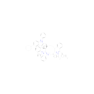 C=CC1=NC2C(=C)C[n+]3c(n(-c4c(C(C)C)cccc4C(C)C)c4ccccc43)-c3cc4c5cc(C6CCCCC6)ccc5n(-c5ccccc5)c4cc3CCC2c2ccccc21